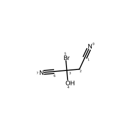 N#CCC(O)(Br)C#N